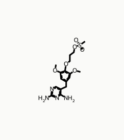 COc1cc(Cc2cnc(N)nc2N)cc(OC)c1OCCCOS(C)(=O)=O